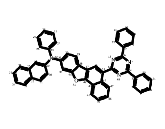 c1ccc(-c2nc(-c3ccccc3)nc(-c3cc4c5ccc(N(c6ccccc6)c6ccc7ccccc7c6)cc5oc4c4ccccc34)n2)cc1